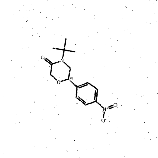 CC(C)(C)N1C[C@@H](c2ccc([N+](=O)[O-])cc2)OCC1=O